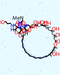 CNCC(=O)N[C@@H]1[C@H](O)[C@@H](O[C@H]2/C=C/C=C/C=C/C=C/C=C/C=C/C=C/[C@H](C)[C@@H](O)[C@@H](C)[C@H](C)OC(=O)C[C@H](O)C[C@H](O)CC[C@@H](O)[C@H](O)C[C@H](O)C[C@]3(O)C[C@H](O)[C@@H](C(=O)NCCNCCCO)[C@H](C2)O3)O[C@@H](C)[C@H]1O